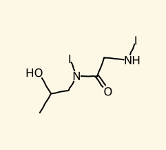 CC(O)CN(I)C(=O)CNI